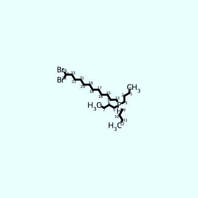 CCCC[PH](CCCC)(CCCC)CCCCCCCCCCCC(Br)Br